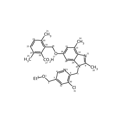 CCOCc1cnc(Cn2c(C)nc3c(C)cc(OCc4c(C)ccc(C)c4C(=O)O)cc32)c(Cl)c1